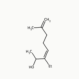 C=C(C)CCC=C(CC)C(C)O